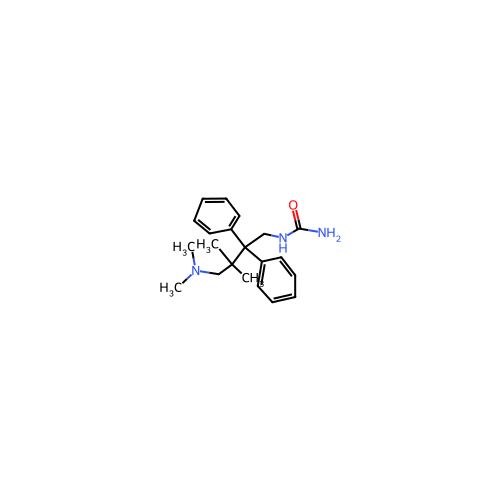 CN(C)CC(C)(C)C(CNC(N)=O)(c1ccccc1)c1ccccc1